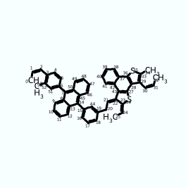 C/C=C\c1ccc(-c2c3ccccc3c(-c3cccc(C/C=c4\c(=C/C)sc5c6c(/C=C\C)c(C)sc6c6ccccc6c45)c3)c3ccccc23)cc1C